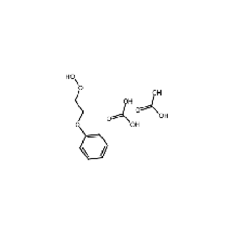 O=C(O)O.O=C(O)O.OOCCOc1ccccc1